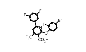 O=C(O)c1c(C(F)(F)F)cc(-c2cc(F)cc(F)c2)nc1Oc1ccc(Br)cc1F